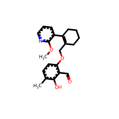 COc1ncccc1C1=C(COc2ccc(C)c(O)c2C=O)CCCC1